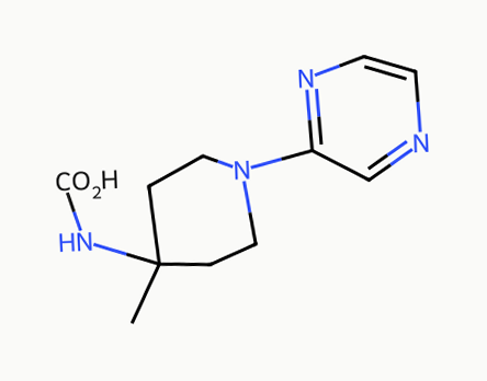 CC1(NC(=O)O)CCN(c2cnccn2)CC1